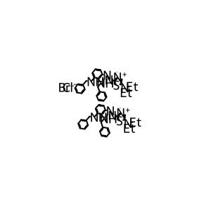 CCN(CC)c1c[n+](C)c(N=Nc2cccc(NCc3ccccc3)c2NCc2ccccc2)s1.CCN(CC)c1c[n+](C)c(N=Nc2cccc(NCc3ccccc3)c2NCc2ccccc2)s1.[Br-].[Cl-]